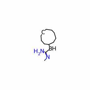 C/N=C(\N)BC1CCCCCCCCC1